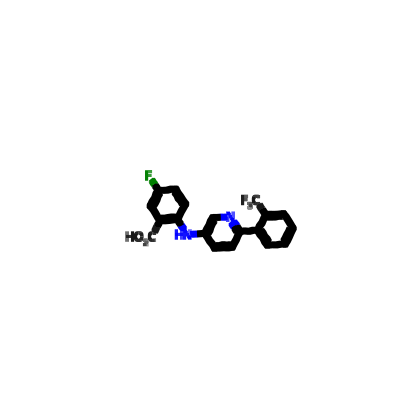 O=C(O)c1cc(F)ccc1Nc1ccc(-c2ccccc2C(F)(F)F)nc1